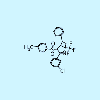 Cc1ccc(S(=O)(=O)C2C(c3cccc(Cl)c3)=NC3(C(F)(F)F)CC(c4ccccc4)C23)cc1